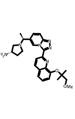 COCC(C)(C)Oc1cccc2ccc(-c3nnc4ccc([C@H](C)N5CC[C@H](N)C5)cn34)nc12